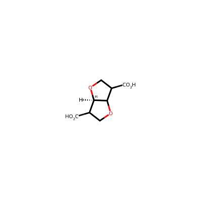 O=C(O)C1CO[C@@H]2C(C(=O)O)COC12